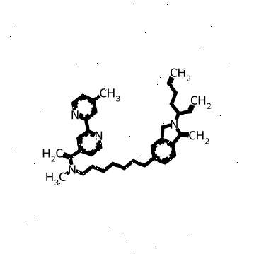 C=CCCC(C=C)N1Cc2cc(CCCCCCCN(C)C(=C)c3ccnc(-c4cc(C)ccn4)c3)ccc2C1=C